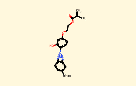 C=C(C)C(=O)OCCOc1ccc(-n2n3c4ccc(CCCCC)cc4n23)c(O)c1